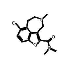 CN1CCc2c(Cl)ccc3oc(C(=O)N(C)C)c(c23)C1